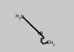 CCCCC/C=C\C/C=C\C/C=C\C/C=C\CCCC(=O)OCCCCCCCCCCCCCCCCCCCCCCCC